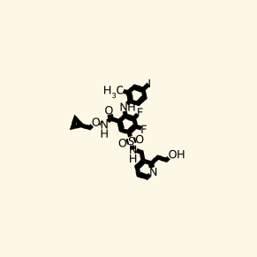 Cc1cc(I)ccc1Nc1c(C(=O)NOCC2CC2)cc(S(=O)(=O)NCc2cccnc2CCO)c(F)c1F